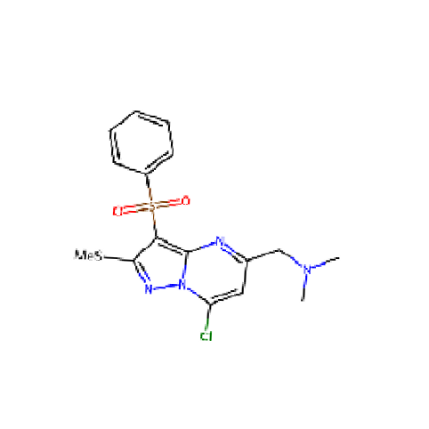 CSc1nn2c(Cl)cc(CN(C)C)nc2c1S(=O)(=O)c1ccccc1